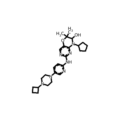 CC1(C)Oc2cnc(Nc3ccc(N4CCN(C5CCC5)CC4)cn3)nc2N(C2CCCC2)C1O